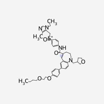 CCCCOCCOc1ccc(-c2ccc3c(c2)/C=C(/C(=O)Nc2ccc([S@+]([O-])Cc4c(C)ncn4CC)cc2)CCCN3CC2CCOC2)cc1